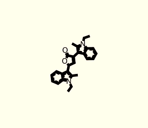 CCn1c(C)c(C2=CC(c3c(C)n(CC)c4ccccc34)OC2=O)c2ccccc21